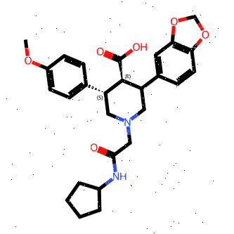 COc1ccc([C@H]2CN(CC(=O)NC3CCCC3)CC(c3ccc4c(c3)OCO4)[C@@H]2C(=O)O)cc1